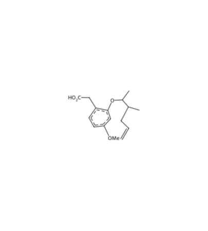 C=CCC(C)C(C)Oc1cc(OC)ccc1CC(=O)O